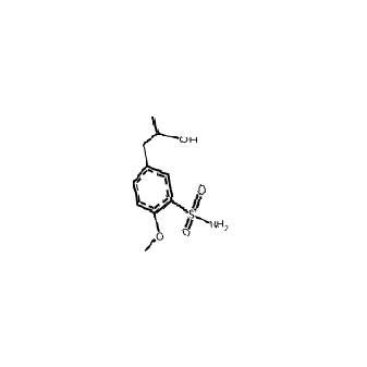 COc1ccc(CC(C)O)cc1S(N)(=O)=O